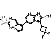 CNc1ncc2c(-c3cnc4nc(C)n(C5CC(F)(F)C5)c4c3)ccn2n1